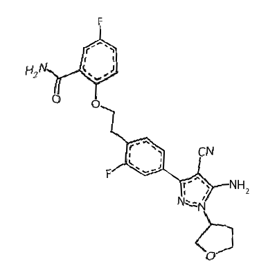 N#Cc1c(-c2ccc(CCOc3ccc(F)cc3C(N)=O)c(F)c2)nn(C2CCOC2)c1N